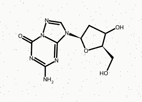 Nc1nc(=O)n2ncn([C@H]3CC(O)[C@@H](CO)O3)c2n1